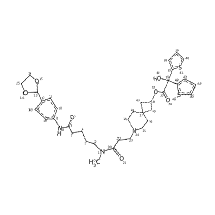 CN(CCCCC(=O)Nc1ccc(C2OCCO2)cc1)C(=O)CCN1CCC2(CC1)CC(OC(=O)C(O)(c1cccs1)c1cccs1)C2